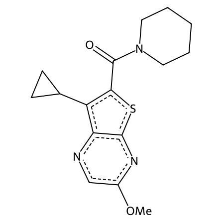 COc1cnc2c(C3CC3)c(C(=O)N3CCCCC3)sc2n1